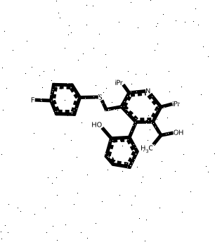 CC(C)c1nc(C(C)C)c(C(C)O)c(-c2ccccc2O)c1CSc1ccc(F)cc1